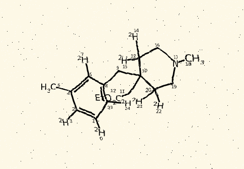 [2H]c1c([2H])c(C)c([2H])c(CC2(CC(=O)OCC)C([2H])([2H])CN(C)CC2([2H])[2H])c1[2H]